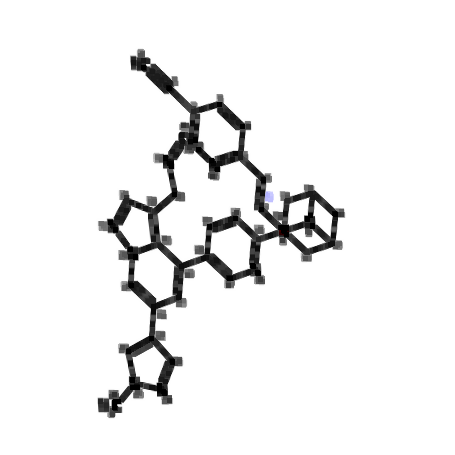 C#Cc1ccc(/C=C/CN2C3CC2CN(c2ccc(-c4cc(-c5cnn(C)c5)cn5ncc(CN=C)c45)cn2)C3)nc1